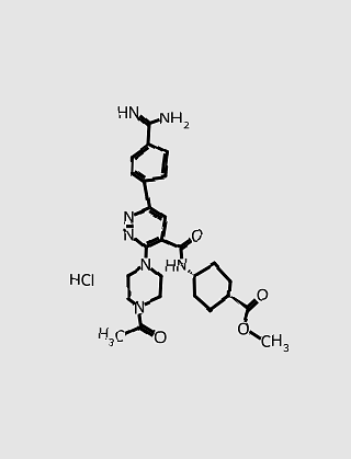 COC(=O)[C@H]1CC[C@H](NC(=O)c2cc(-c3ccc(C(=N)N)cc3)nnc2N2CCN(C(C)=O)CC2)CC1.Cl